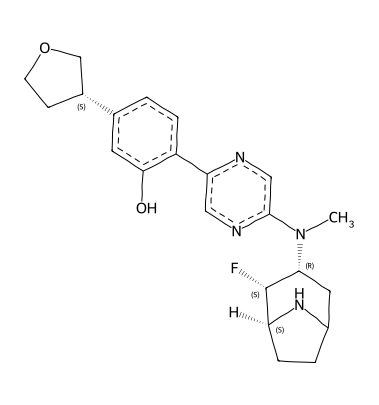 CN(c1cnc(-c2ccc([C@@H]3CCOC3)cc2O)cn1)[C@@H]1CC2CC[C@H](N2)[C@@H]1F